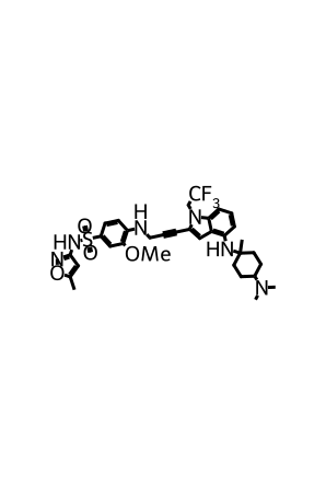 COc1cc(S(=O)(=O)Nc2cc(C)on2)ccc1NCC#Cc1cc2c(NC3(C)CCC(N(C)C)CC3)cccc2n1CC(F)(F)F